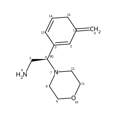 C=C1C=C([C@H](CN)N2CCOCC2)C=CC1